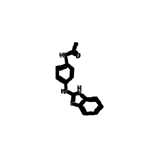 CC(=O)Nc1ccc(Nc2nc3ccccc3[nH]2)cc1